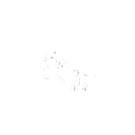 Cc1ncoc1-c1ccc([C@H](C)NC(=O)[C@@H]2C[C@@H](O)CN2C(=O)[C@@H](NC(=O)COc2ccc(O[C@H]3C[C@@H](NC(=O)C[C@@H]4N=C(c5ccc(Cl)cc5)c5c(sc(C)c5C)-n5c(C)nnc54)C3)nc2)C(C)(C)C)cc1